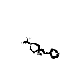 O=C(O)N1CCC(O)(/C=C/c2ccncc2)CC1